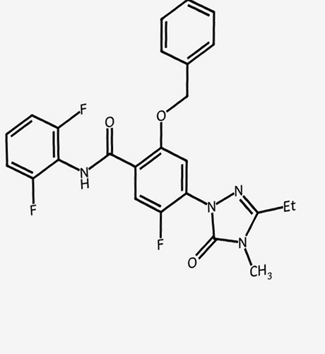 CCc1nn(-c2cc(OCc3ccccc3)c(C(=O)Nc3c(F)cccc3F)cc2F)c(=O)n1C